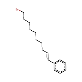 BrCCCCCCCCC=Cc1ccccc1